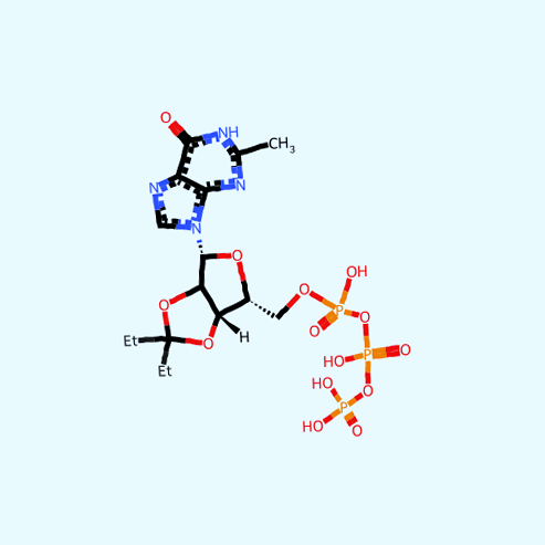 CCC1(CC)OC2[C@@H](O1)[C@@H](COP(=O)(O)OP(=O)(O)OP(=O)(O)O)O[C@H]2n1cnc2c(=O)[nH]c(C)nc21